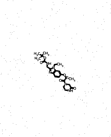 CCn1c(CNC(=O)OC(C)(C)C)nc2ccc(O[C@H](C)C(=O)N3CCNC(=O)C3)cc21